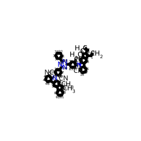 C=CC1=C(C=C)C(C)(C)c2cc3c(cc21)c1ccccc1n3-c1c(C#N)cc(-c2nc(-c3ccccc3)nc(-c3cc(C#N)c(-n4c5ccccc5c5cc6c(cc54)C(C)(C)c4ccccc4-6)c(C#N)c3)n2)cc1C#N